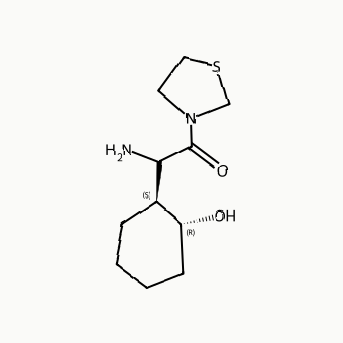 NC(C(=O)N1CCSC1)[C@@H]1CCCC[C@H]1O